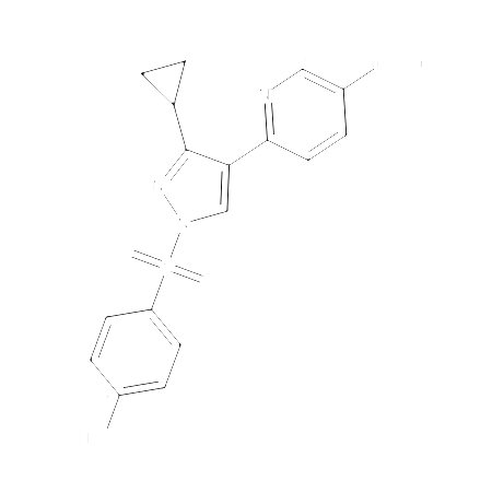 CCOC(=O)c1ccc(-c2cn(S(=O)(=O)c3ccc(C)cc3)nc2C2CC2)nc1